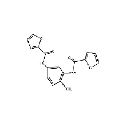 Cc1ccc(NC(=O)c2ccco2)cc1NC(=O)c1ccco1